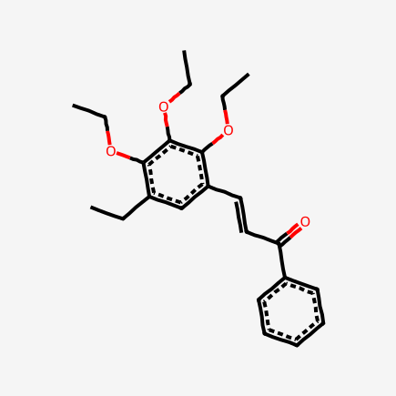 CCOc1c(C=CC(=O)c2ccccc2)cc(CC)c(OCC)c1OCC